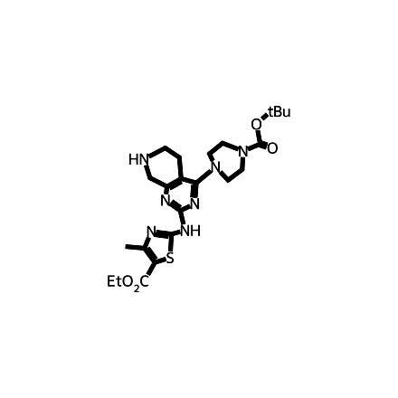 CCOC(=O)c1sc(Nc2nc3c(c(N4CCN(C(=O)OC(C)(C)C)CC4)n2)CCNC3)nc1C